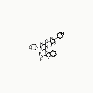 Cc1sc(-c2ccncc2)nc1Oc1nc(N2CCOCC2)nc(-n2c(C(F)F)nc3ccccc32)n1